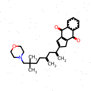 C=C(CCC(C)(C)CN1CCOCC1)CC(=C)C1=CC2=C(C1)C(=O)c1ccccc1C2=O